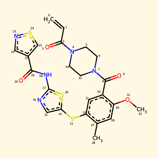 C=CC(=O)N1CCN(C(=O)c2cc(Sc3cnc(NC(=O)c4cnsc4)s3)c(C)cc2OC)CC1